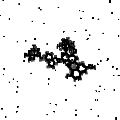 C#Cc1c(F)ccc2cc(O)cc(-c3nc4c5c(nc(OC[C@@]67CCCN6[C@H](COC(C)(C(F)(F)F)C(F)(F)F)CC7)nc5c3F)N3C[C@H]5CC[C@H](N5)[C@H]3CO4)c12